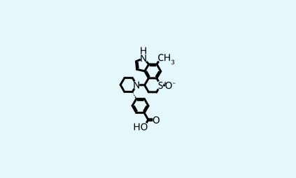 Cc1cc2c(c3cc[nH]c13)C(N1CCCC[C@H]1c1ccc(C(=O)O)cc1)CC[S+]2[O-]